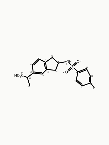 Cc1ccc(S(=O)(=O)NC2Cc3ccc(C(C)C(=O)O)cc3C2)cc1